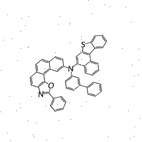 c1ccc(-c2cccc(N(c3ccc4ccc5ccc6nc(-c7ccccc7)oc6c5c4c3)c3cc4sc5ccccc5c4c4ccccc34)c2)cc1